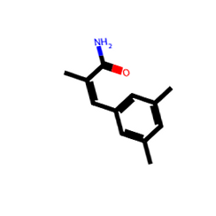 CC(=Cc1cc(C)cc(C)c1)C(N)=O